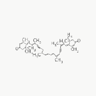 CC(C#CC=C(C)C=CC=CC(C)=CC#CC(C)=CC=C1C(C)=CC(=O)CC1(C)C)=CC=C1C(C)=CC(=O)CC1(C)C